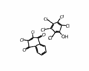 O=C1C(Cl)=C(Cl)C(=O)c2ccccc21.Oc1c(Cl)c(Cl)c(Cl)c(Cl)c1Cl